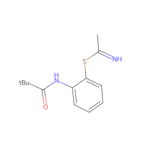 CC(=N)Sc1ccccc1NC(=O)C(C)(C)C